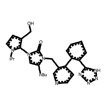 CCCCc1cn(-c2c(CO)ccn2C(C)C)c(=O)n1Cc1cnccc1-c1ccccc1-c1nnn[nH]1